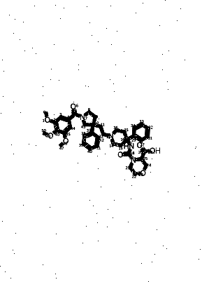 COc1cc(C(=O)N2CCC(CCN3CCC(NC(=O)N4CCOCC4C(=O)O)(c4ccccc4)CC3)(c3ccccc3)C2)cc(OC)c1OC